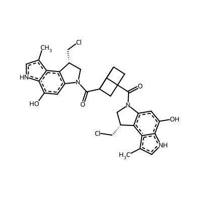 Cc1c[nH]c2c(O)cc3c(c12)[C@H](CCl)CN3C(=O)C12CC3C1C3(C(=O)N1C[C@@H](CCl)c3c1cc(O)c1[nH]cc(C)c31)C2